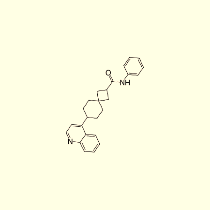 O=C(Nc1ccccc1)C1CC2(CCC(c3ccnc4ccccc34)CC2)C1